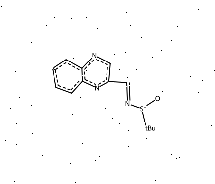 CC(C)(C)[S+]([O-])N=Cc1cnc2ccccc2n1